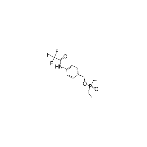 CCP(=O)(CC)OCc1ccc(NC(=O)C(F)(F)F)cc1